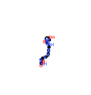 C[C@@]1(O)CC/C=C\Cn2c(=O)c3cnc(Nc4ccc(N5CCN(C6CCN(CC7CCN(c8ccc9cnn(C%10CCC(=O)NC%10=O)c(=O)c9c8)CC7)CC6)CC5)cc4)nc3n2-c2cccc1n2